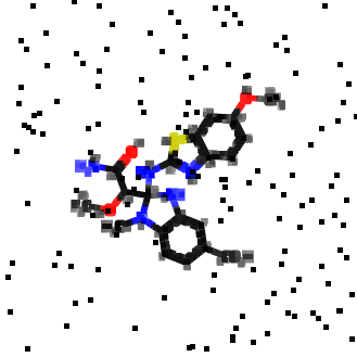 CN1c2ccc(C(=O)O)cc2NC1(Nc1nc2ccc(OC(F)(F)F)cc2s1)C(OC(F)(F)F)C(N)=O